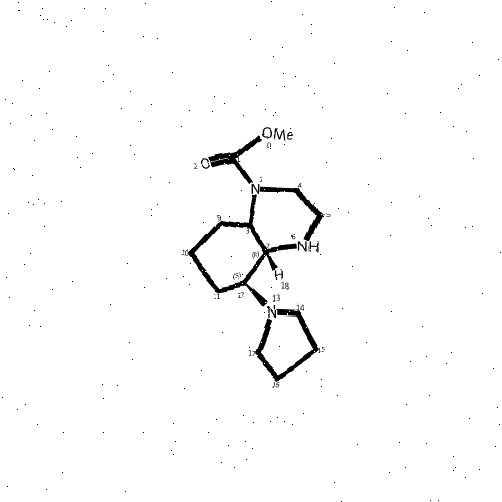 COC(=O)N1CCN[C@H]2C1CCC[C@@H]2N1CCCC1